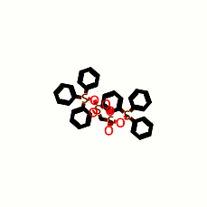 O=S(=O)(CS(=O)(=O)OS(c1ccccc1)(c1ccccc1)c1ccccc1)OS(c1ccccc1)(c1ccccc1)c1ccccc1